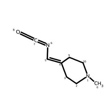 CN1CCC(=CN=C=O)CC1